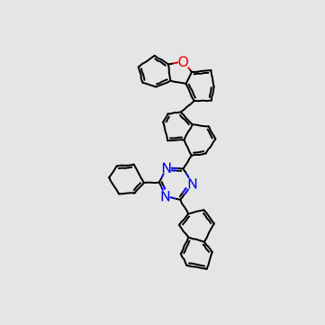 C1=CC(c2nc(-c3ccc4ccccc4c3)nc(-c3cccc4c(-c5cccc6oc7ccccc7c56)cccc34)n2)=CCC1